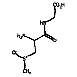 C[S+]([O-])CC(N)C(=O)NCC(=O)O